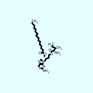 CCCCCC/C=C/CCCCCCCC(=O)OC[C@H](CCOC(=O)[C@@H](N)C(C)CC)Cn1cnc2cnc(N)nc21